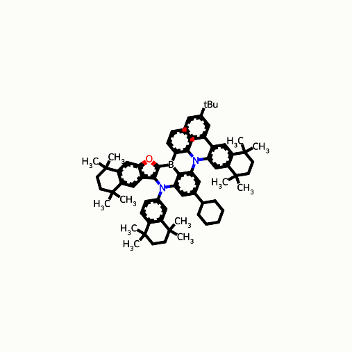 CC(C)(C)c1cccc(-c2cc3c(cc2N2c4ccccc4B4c5oc6cc7c(cc6c5N(c5ccc6c(c5)C(C)(C)CCC6(C)C)c5cc(C6CCCCC6)cc2c54)C(C)(C)CCC7(C)C)C(C)(C)CCC3(C)C)c1